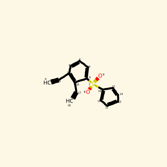 C#Cc1cccc(S(=O)(=O)c2ccccc2)c1C#C